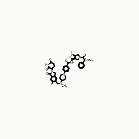 CO[C@@H](C(=O)N1Cc2[nH]nc(NC(=O)c3ccc(N4CCC(N(C)Cc5cc6c(cc5F)C(=O)N(C5CCC(=O)NC5=O)C6)CC4)cc3)c2C1)c1ccccc1